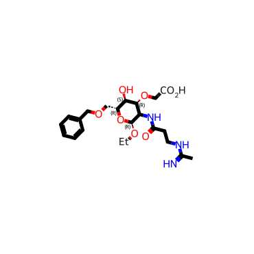 CCO[C@@H]1O[C@H](COCc2ccccc2)[C@@H](O)[C@H](OCC(=O)O)C1NC(=O)CCNC(C)=N